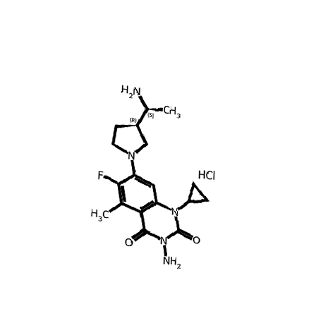 Cc1c(F)c(N2CC[C@@H]([C@H](C)N)C2)cc2c1c(=O)n(N)c(=O)n2C1CC1.Cl